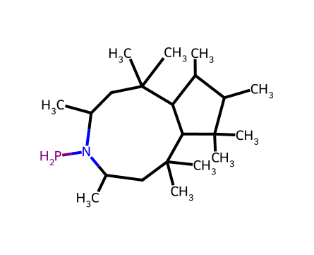 CC1C2C(C(C)(C)CC(C)N(P)C(C)CC2(C)C)C(C)(C)C1C